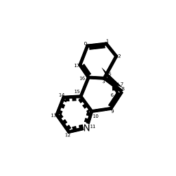 C1=CCC23C=CC=CC2=Cc2ncccc2C3=C1